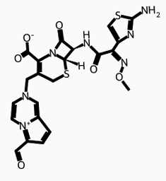 CO/N=C(\C(=O)N[C@@H]1C(=O)N2C(C(=O)[O-])=C(Cn3cc[n+]4c(C=O)ccc-4c3)CS[C@@H]12)c1csc(N)n1